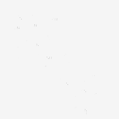 CC(C)n1cnnc1-c1cccc(Nc2cccc3[nH]c(C(=O)N4CCNCC4)cc(=O)c23)n1